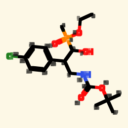 CCOP(C)(=O)C(O)C(CNC(=O)OC(C)(C)C)c1ccc(Cl)cc1